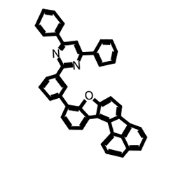 c1ccc(-c2cc(-c3ccccc3)nc(-c3cccc(-c4cccc5c4oc4ccc6c(c45)-c4cccc5cccc-6c45)c3)n2)cc1